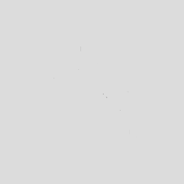 CC1BN1OC(C)(C)C